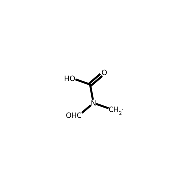 [CH2]N(C=O)C(=O)O